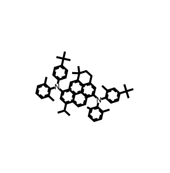 Cc1cc(C(C)(C)C)ccc1N(c1c(C)cccc1C)c1cc2c3c(cc4c(N(c5ccc(C(C)(C)C)cc5)c5c(C)cccc5C)cc(C(C)C)c5ccc1c3c54)C(C)(C)CC2